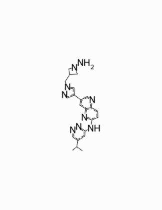 CC(C)c1cnnc(Nc2ccc3ncc(-c4cnn(CC5CN(N)C5)c4)cc3n2)c1